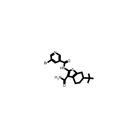 CC(C)(C)C1CCc2c(sc(NC(=O)c3cncc(Br)c3)c2C(N)=O)C1